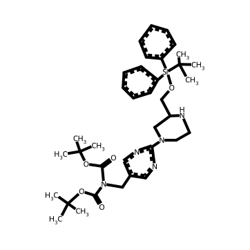 CC(C)(C)OC(=O)N(Cc1cnc(N2CCNC(CO[Si](c3ccccc3)(c3ccccc3)C(C)(C)C)C2)nc1)C(=O)OC(C)(C)C